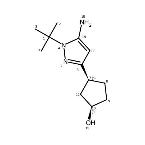 CC(C)(C)n1nc([C@H]2CC[C@@H](O)C2)cc1N